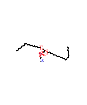 CCCCC/C=C\C/C=C\CCCCCCCCCCCC(=O)O[C@H](COC(=O)CCCCCCCCC/C=C\CCCCCC)COP(=O)(O)OCC[N+](C)(C)C